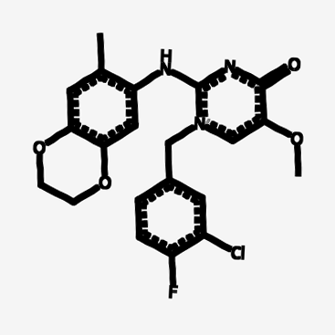 COc1cn(Cc2ccc(F)c(Cl)c2)c(Nc2cc3c(cc2C)OCCO3)nc1=O